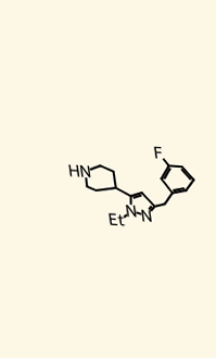 CCn1nc(Cc2cccc(F)c2)cc1C1CCNCC1